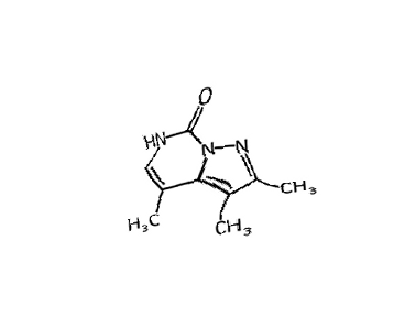 Cc1nn2c(=O)[nH]cc(C)c2c1C